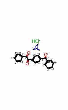 CN(C)C.Cl.O=C(C(=O)c1ccc(C(=O)c2ccccc2)cc1)c1ccccc1